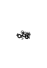 CNc1nccc(-c2sc3c(c2C(=O)O)CC(C)(C)CC3)n1